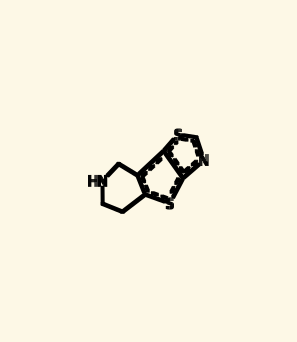 c1nc2sc3c(c2s1)CNCC3